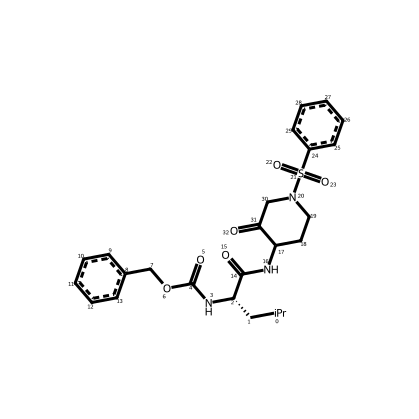 CC(C)C[C@H](NC(=O)OCc1ccccc1)C(=O)NC1CCN(S(=O)(=O)c2ccccc2)CC1=O